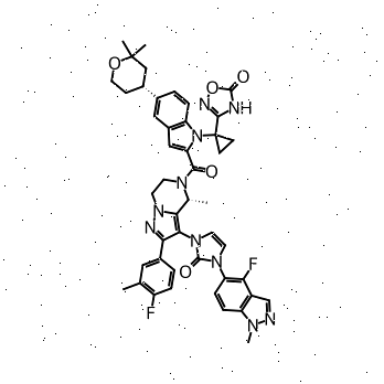 Cc1cc(-c2nn3c(c2-n2ccn(-c4ccc5c(cnn5C)c4F)c2=O)[C@@H](C)N(C(=O)c2cc4cc([C@@H]5CCOC(C)(C)C5)ccc4n2C2(c4noc(=O)[nH]4)CC2)CC3)ccc1F